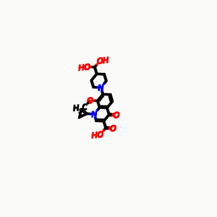 COc1c(N2CCC(C(O)O)CC2)ccc2c(=O)c(C(=O)O)cn(C3CC3)c12